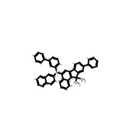 CC1(C)c2cc(-c3ccccc3)ccc2-c2cc(N(c3cccc(-c4ccccc4)c3)c3ccc4ccccc4c3)c3ccccc3c21